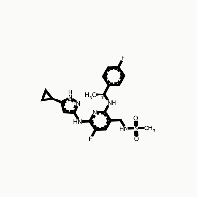 C[C@H](Nc1nc(Nc2cc(C3CC3)[nH]n2)c(F)cc1CNS(C)(=O)=O)c1ccc(F)cc1